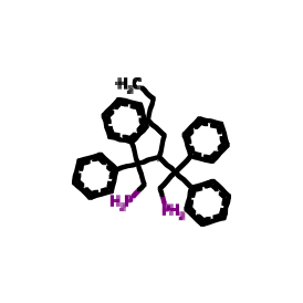 [CH2]CCC[C](C(CP)(c1ccccc1)c1ccccc1)C(CP)(c1ccccc1)c1ccccc1